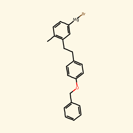 Cc1cc[c]([Mg][Br])cc1CCc1ccc(OCc2ccccc2)cc1